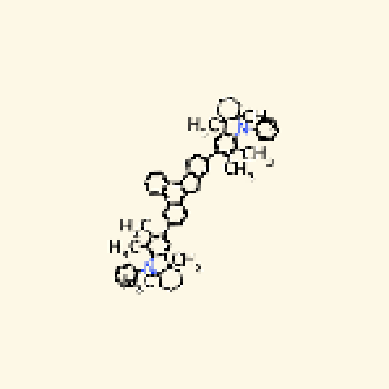 Cc1c(-c2ccc3c(c2)Cc2c-3c3ccccc3c3cc(-c4cc5c(c(C)c4C)N(c4ccccc4)C4(C)CCCCC54C)ccc23)cc2c(c1C)N(c1ccccc1)C1(C)CCCCC21C